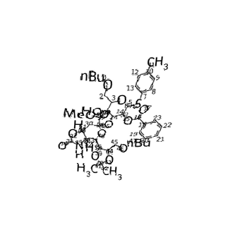 CCCCOCC1O[C@@H](Sc2ccc(C)cc2)[C@@H](OC(=O)c2ccccc2)C(O[C@]2(C(=O)OC)C[C@H]3OC(=O)N[C@H]3C([C@@H]3OC(C)(C)O[C@@H]3COCCCC)O2)[C@H]1O